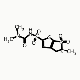 C[C@H]1Cc2cc(S(=O)(=O)NC(=O)N(C)C)sc2S1(=O)=O